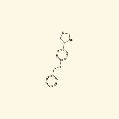 c1ccc(COc2ccc(C3C[N]CN3)cc2)cc1